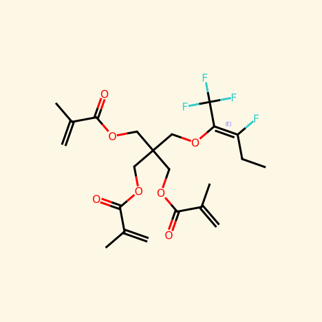 C=C(C)C(=O)OCC(COC(=O)C(=C)C)(COC(=O)C(=C)C)CO/C(=C(/F)CC)C(F)(F)F